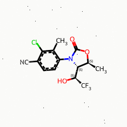 Cc1c(N2C(=O)O[C@@H](C)[C@@H]2[C@H](O)C(F)(F)F)ccc(C#N)c1Cl